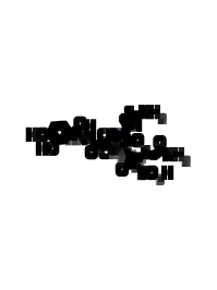 CC(C)(O/N=C(\C(=O)N[C@H]1C(=O)N(S(=O)(=O)O)[C@@H]1SCC(N)=O)c1csc(N)n1)C(=O)NNC(=O)c1ccc(O)c(O)c1